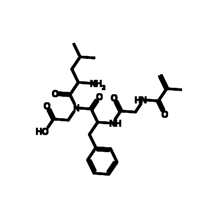 C=C(C)C(=O)NCC(=O)NC(Cc1ccccc1)C(=O)N(CC(=O)O)C(=O)C(N)CC(C)C